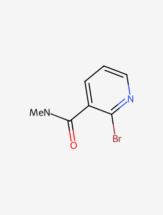 CNC(=O)c1cccnc1Br